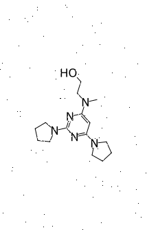 CN(CCO)c1cc(N2CCCC2)nc(N2CCCC2)n1